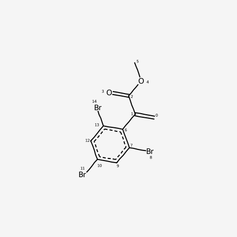 C=C(C(=O)OC)c1c(Br)cc(Br)cc1Br